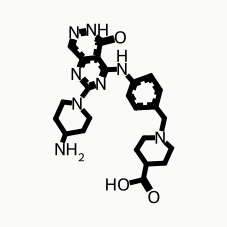 NC1CCN(c2nc(Nc3ccc(CN4CCC(C(=O)O)CC4)cc3)c3c(=O)[nH]ncc3n2)CC1